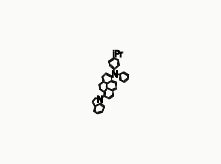 CC(C)c1ccc(N(c2ccccc2)c2ccc3ccc4c(N5CCc6ccccc65)ccc5ccc2c3c54)cc1